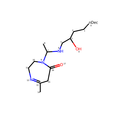 CCCCCCCCCCCCC(O)CNC(C)N1CCN=C(C)CC1=O